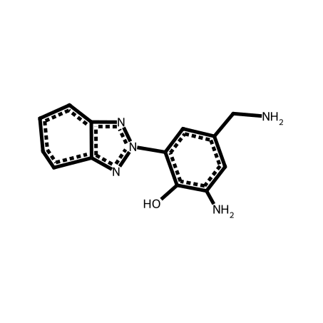 NCc1cc(N)c(O)c(-n2nc3ccccc3n2)c1